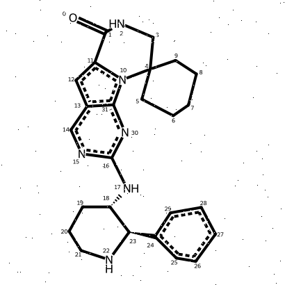 O=C1NCC2(CCCCC2)n2c1cc1cnc(N[C@H]3CCCN[C@@H]3c3ccccc3)nc12